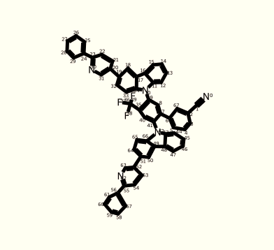 N#Cc1cccc(-c2cc(-n3c4ccccc4c4cc(-c5ccc(-c6ccccc6)nc5)ccc43)c(C(F)(F)F)cc2-n2c3ccccc3c3cc(-c4ccc(-c5ccccc5)nc4)ccc32)c1